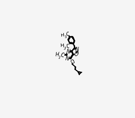 Cc1ccc(-c2noc3c(OCCCC4CC4)nc(C)nc23)c(C)c1